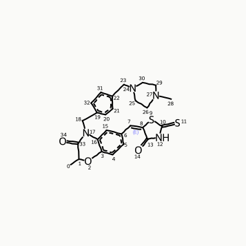 CC1Oc2ccc(/C=C3/SC(=S)NC3=O)cc2N(Cc2ccc(CN3CCN(C)CC3)cc2)C1=O